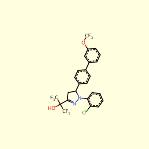 OC(C1=NN(c2ccccc2Cl)C(c2ccc(-c3cccc(OC(F)(F)F)c3)cc2)C1)(C(F)(F)F)C(F)(F)F